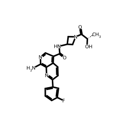 C[C@H](O)C(=O)N1CC(NC(=O)c2cnc(N)c3nc(-c4cccc(F)c4)ccc23)C1